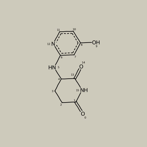 O=C1CCC(Nc2cc(O)ccn2)C(=O)N1